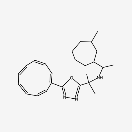 CC1CCCCC(C(C)NC(C)(C)c2nnc(-c3ccccccccc3)o2)C1